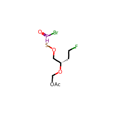 CC(=O)OCO[C@@H](CCF)COS[PH](=O)Br